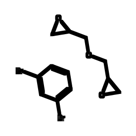 Brc1cccc(Br)c1.C(OCC1CO1)C1CO1